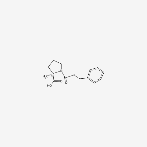 C[C@]1(C(=O)O)CCCN1C(=O)OCc1ccccc1